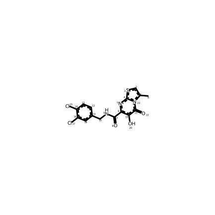 Cc1csc2nc(C(=O)NCc3ccc(Cl)c(Cl)c3)c(O)c(=O)n12